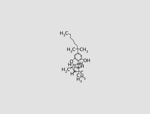 C=C1[C@H]2Oc3cc(C(C)(C)CCCCCC)cc(O)c3[C@H]2[C@H]2C[C@@H]1C2(C)C